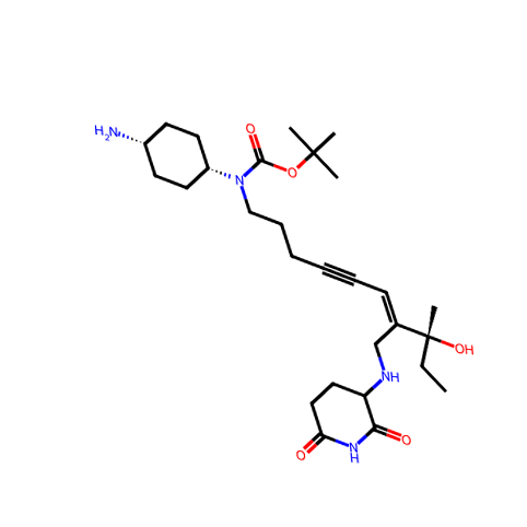 CC[C@@](C)(O)/C(=C/C#CCCCN(C(=O)OC(C)(C)C)[C@H]1CC[C@@H](N)CC1)CNC1CCC(=O)NC1=O